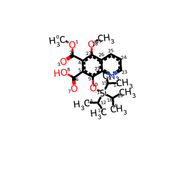 COC(=O)c1c(C(=O)O)c(O[Si](C(C)C)(C(C)C)C(C)C)c2ncccc2c1OC